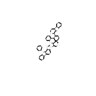 c1ccc(-n2c3ccccc3c3ccc4c(nc5n(-c6ccccc6-c6ccccc6-c6nccc7c6sc6ccccc67)c6ccncc6n45)c32)cc1